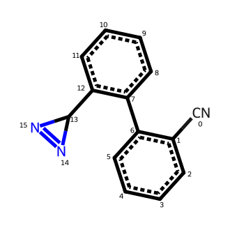 N#Cc1ccccc1-c1ccccc1C1N=N1